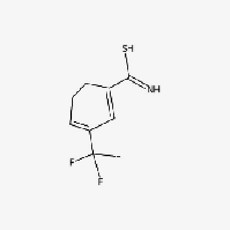 N=C(S)C1=CC(C(F)(F)F)=CCC1